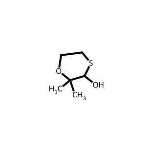 CC1(C)OCCSC1O